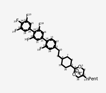 CCCCCC12COC(C3CCC(CCc4ccc(-c5cc(F)c(-c6cc(F)c(F)c(F)c6)c(F)c5)c(F)c4)CC3)(OC1)OC2